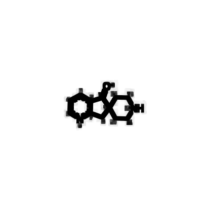 O=C1c2cccnc2CC12CCNCC2